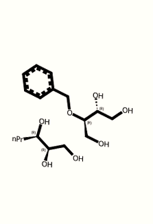 CCC[C@@H](O)[C@H](O)CO.OC[C@@H](O)[C@@H](CO)OCc1ccccc1